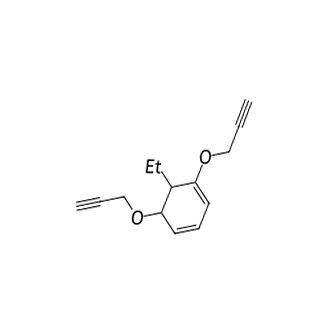 C#CCOC1=CC=CC(OCC#C)C1CC